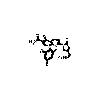 CC(=O)NCC1CC(=O)N(c2ccc3c(=O)c(C(N)=O)cn(-c4c(F)cc(F)cc4F)c3n2)C1